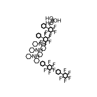 C1CCC(NC2CCCCC2)CC1.C1CCC(NC2CCCCC2)CC1.C1CCC(NC2CCCCC2)CC1.Fc1c(F)c(F)c(-c2ccccc2)c(F)c1F.Fc1c(F)c(F)c(-c2ccccc2)c(F)c1F.Fc1c(F)c(F)c(-c2ccccc2)c(F)c1F.Fc1c(F)c(F)c(-c2ccccc2)c(F)c1F.OB(O)O